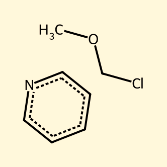 COCCl.c1ccncc1